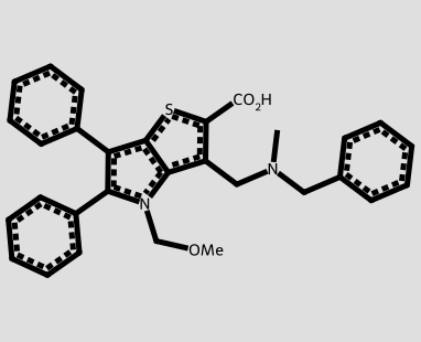 COCn1c(-c2ccccc2)c(-c2ccccc2)c2sc(C(=O)O)c(CN(C)Cc3ccccc3)c21